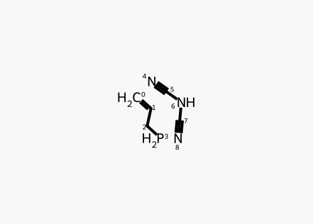 C=CCP.N#CNC#N